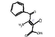 N/C(C(=O)c1ccccc1)=C(/Cl)C(=O)O